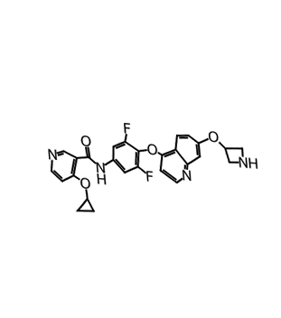 O=C(Nc1cc(F)c(Oc2ccnc3cc(OC4CNC4)ccc23)c(F)c1)c1cnccc1OC1CC1